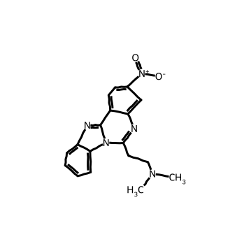 CN(C)CCc1nc2cc([N+](=O)[O-])ccc2c2nc3ccccc3n12